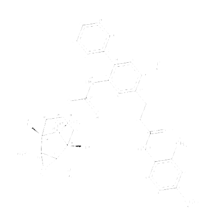 Cc1cc(C=O)ccc1NC(=O)CCc1ccc(-c2ccccc2)c(NC(=O)O[C@@H]2C[C@@H]3[C@H]4O[C@H]4[C@H](C2)[N+]3(C)C)c1.[I-]